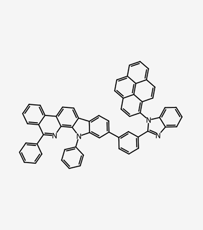 c1ccc(-c2nc3c(ccc4c5ccc(-c6cccc(-c7nc8ccccc8n7-c7ccc8ccc9cccc%10ccc7c8c9%10)c6)cc5n(-c5ccccc5)c43)c3ccccc23)cc1